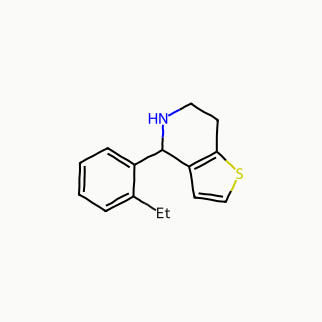 CCc1ccccc1C1NCCc2sccc21